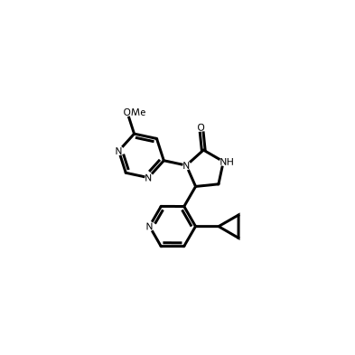 COc1cc(N2C(=O)NCC2c2cnccc2C2CC2)ncn1